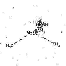 CCCCCCCCCCCCCCCC(=O)OCC(CSCC(N)C(=O)C(=O)[C@H](CO)NC(=O)[C@@H](N)CO)OC(=O)CCCCCCCCCCCCCCC